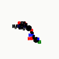 CN(C)C(=O)C(C)(C)c1nc(-c2ccc(OCCNCC(O)c3ccc(Cl)nc3)cc2)co1